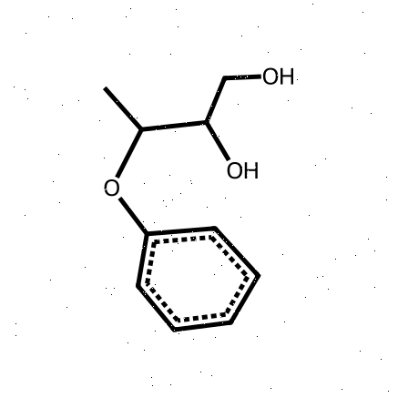 CC(Oc1ccccc1)C(O)CO